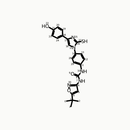 CC(C)(C)c1cc(NC(=O)Nc2ccc(-n3cc(-c4ccc(O)cc4)nc3S)cc2)no1